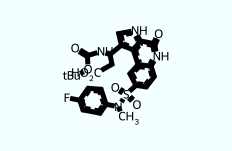 CN(c1ccc(F)cc1)S(=O)(=O)c1ccc2[nH]c(=O)c3[nH]cc(C(CC(=O)O)NC(=O)OC(C)(C)C)c3c2c1